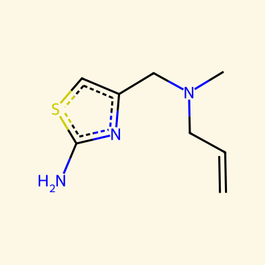 C=CCN(C)Cc1csc(N)n1